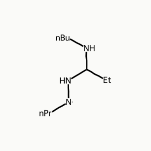 CCCCNC(CC)N[N]CCC